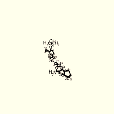 CC(C)(O)COc1ccc2c(C(=O)N[C@H]3CC4(C3)C[C@H](Oc3c(C(N)=O)sc5ccccc35)C4)cnn2c1C1CC1